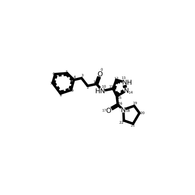 O=C(CCc1ccccc1)Nc1c[nH]nc1C(=O)N1CCCC1